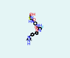 C[C@@H]1CN(Cc2ccc(-c3cccc(Oc4ncc(F)cc4C(=O)N[C@H]4CC[C@H](NC(=O)c5csc(CO)n5)CC4)c3)cc2)C[C@H](C)N1